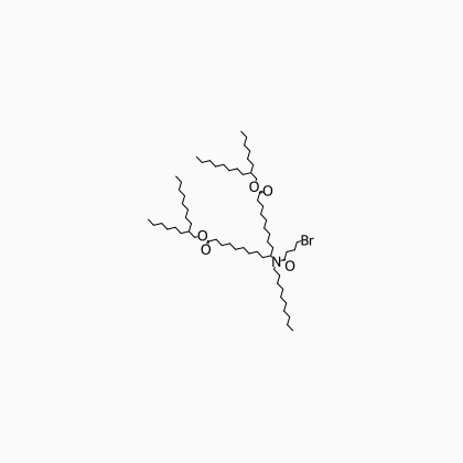 CCCCCCCCCCN(C(=O)CCCBr)C(CCCCCCCCC(=O)OCC(CCCCCC)CCCCCCCC)CCCCCCCCC(=O)OCC(CCCCCC)CCCCCCCC